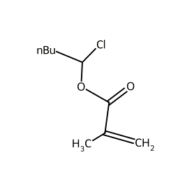 C=C(C)C(=O)OC(Cl)CCCC